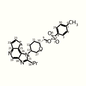 Cc1ccc(S(=O)(=O)OC[C@H]2CC[C@H](n3c(C(C)C)nc4cnc5ccsc5c43)CO2)cc1